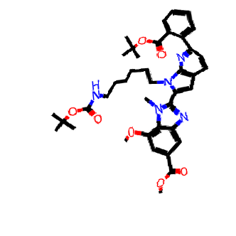 COC(=O)c1cc(OC)c2c(c1)nc(-c1cc3ccc(-c4ccccc4C(=O)OC(C)(C)C)nc3n1CCCCCCNC(=O)OC(C)(C)C)n2C